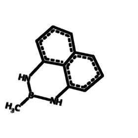 CB1Nc2cccc3cccc(c23)N1